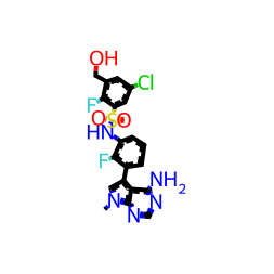 Cn1cc(-c2cccc(NS(=O)(=O)c3cc(Cl)cc(CO)c3F)c2F)c2c(N)ncnc21